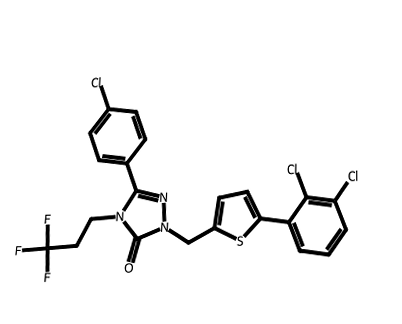 O=c1n(Cc2ccc(-c3cccc(Cl)c3Cl)s2)nc(-c2ccc(Cl)cc2)n1CCC(F)(F)F